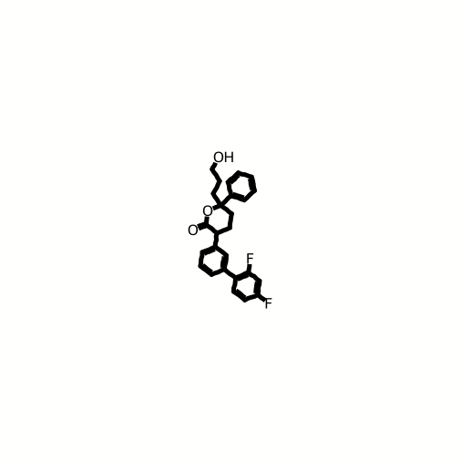 O=C1OC(CCCO)(c2ccccc2)CCC1c1cccc(-c2ccc(F)cc2F)c1